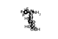 N=C(N)N[C@@H](CC(=O)Nc1ccn([C@@H]2O[C@H](CO)[C@@H](O)[C@H]2O)c(=O)n1)Cc1cc(F)c(F)cc1F